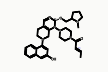 C/C=C/C(=O)N1CCN(N2C3=C(C=N[C@@H]2OCC2CCCN2C)CCN(c2cc(O)cc4ccccc24)C3)CC1